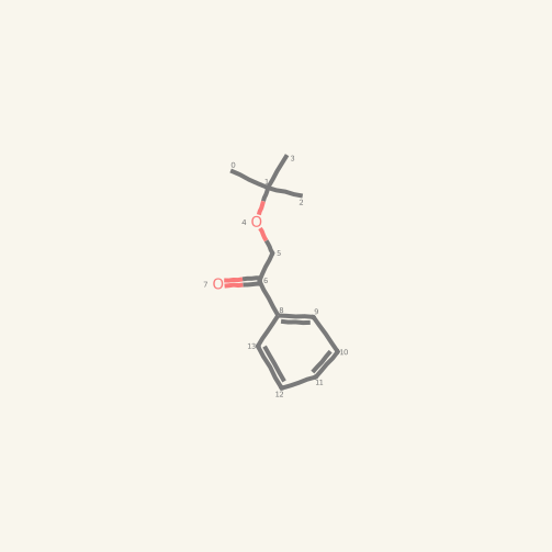 CC(C)(C)OCC(=O)c1ccccc1